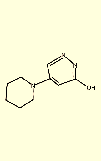 Oc1cc(N2CCCCC2)cnn1